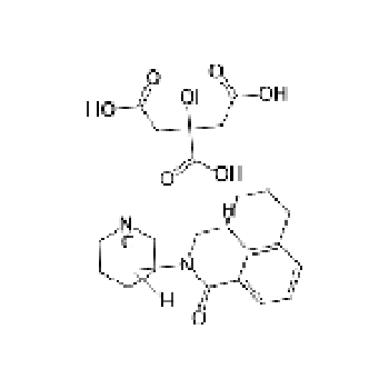 O=C(O)CC(O)(CC(=O)O)C(=O)O.O=C1c2cccc3c2[C@@H](CCC3)CN1[C@@H]1CN2CCC1CC2